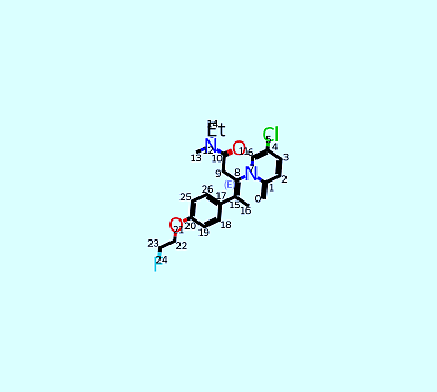 C=C1C=CC(Cl)=CN1/C(CC(=O)N(C)CC)=C(\C)c1ccc(OCCF)cc1